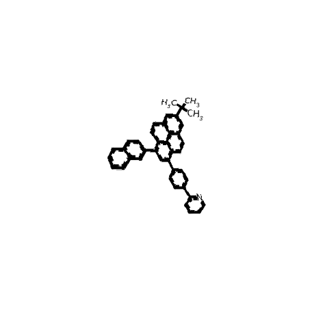 CC(C)(C)c1cc2ccc3c(-c4ccc(-c5ccccn5)cc4)cc(-c4ccc5ccccc5c4)c4ccc(c1)c2c34